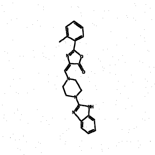 Cc1ccccc1C1=N/C(=C/N2CCN(c3nc4ccccc4[nH]3)CC2)C(=O)O1